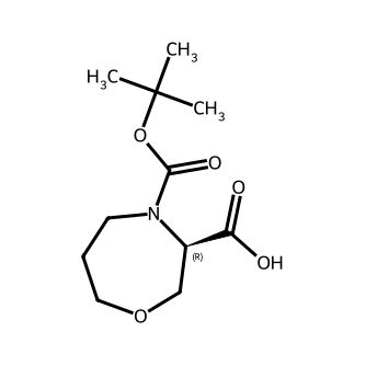 CC(C)(C)OC(=O)N1CCCOC[C@@H]1C(=O)O